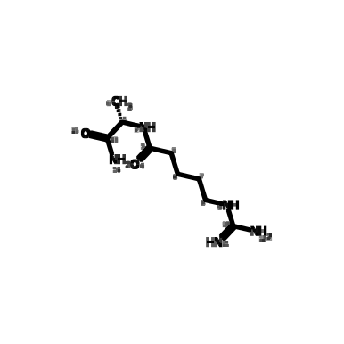 C[C@H](NC(=O)CCCCNC(=N)N)C(N)=O